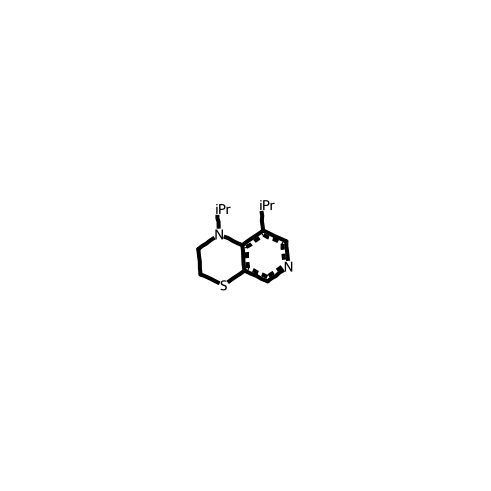 CC(C)c1cncc2c1N(C(C)C)CCS2